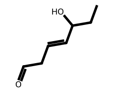 CCC(O)/C=C/CC=O